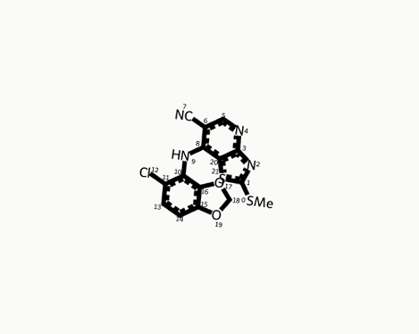 CSc1nc2ncc(C#N)c(Nc3c(Cl)ccc4c3OCO4)c2s1